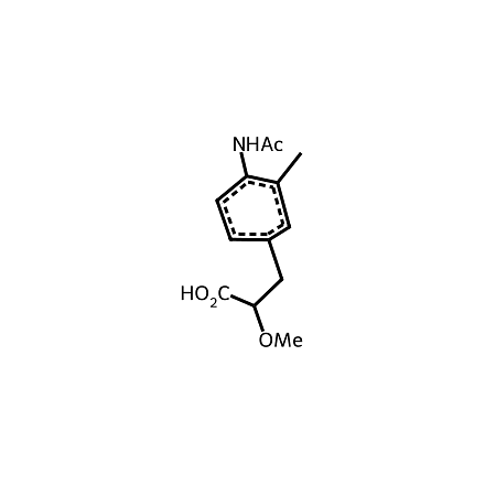 COC(Cc1ccc(NC(C)=O)c(C)c1)C(=O)O